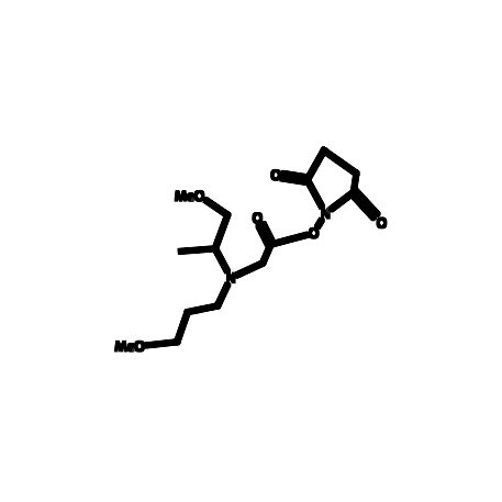 COCCCN(CC(=O)ON1C(=O)CCC1=O)C(C)COC